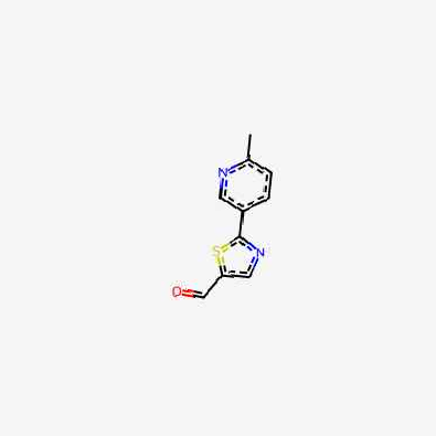 Cc1ccc(-c2ncc(C=O)s2)cn1